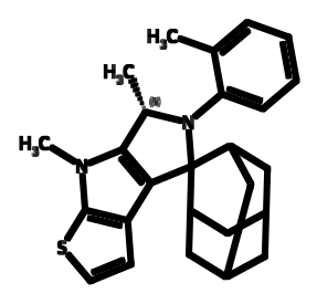 Cc1ccccc1N1[C@@H](C)c2c(c3ccsc3n2C)C12C1CC3CC(C1)CC2C3